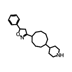 c1ccc(C2CC(C3CCCCC(C4CCNCC4)CCC3)=NO2)cc1